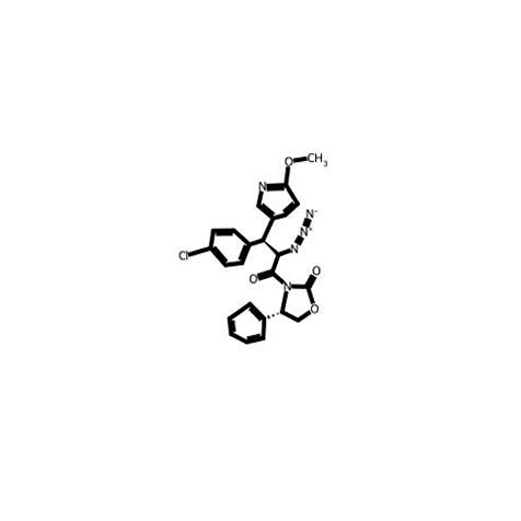 COc1ccc([C@H](c2ccc(Cl)cc2)C(N=[N+]=[N-])C(=O)N2C(=O)OC[C@@H]2c2ccccc2)cn1